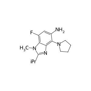 CC(C)c1nc2c(N3CCCC3)c(N)cc(F)c2n1C